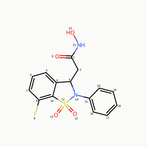 O=C(CC1c2cccc(F)c2S(=O)(=O)N1c1ccccc1)NO